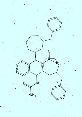 NC(=S)NC(c1ccccc1C(NC(N)=S)C1CCCCC(Cc2ccccc2)C1)C1CCCCC(Cc2ccccc2)C1